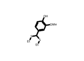 CCSC(SCC)c1ccc(O)c(OC)c1